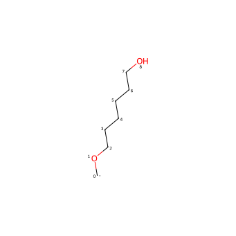 [CH2]OCCCCCCO